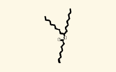 C=CCCCCCC(=O)OC(CCCCCCCC)CCCCCCCC